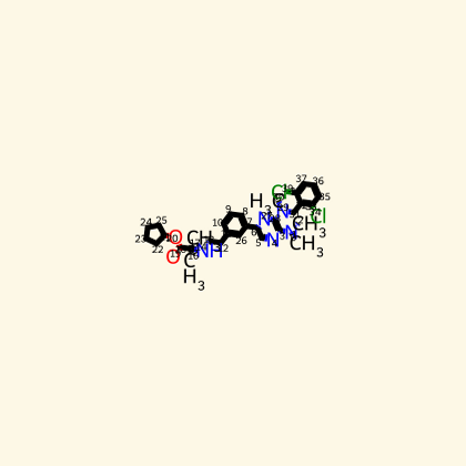 CN(C)c1ncc(-c2cccc(CCNC(C)(C)C(=O)OC3CCCC3)c2)nc1N(C)Cc1c(Cl)cccc1Cl